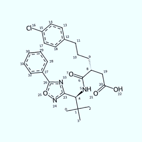 CC(C)(C)[C@H](NC(=O)[C@H](CCCc1ccc(Cl)cc1)CC(=O)O)c1noc(-c2ccccc2)n1